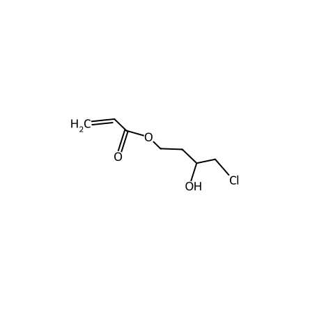 C=CC(=O)OCCC(O)CCl